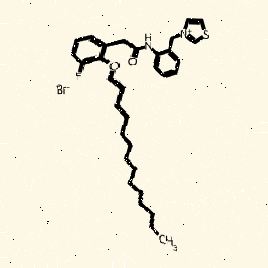 CCCCCCCCCCCCCCOc1c(F)cccc1CC(=O)Nc1ccccc1C[n+]1ccsc1.[Br-]